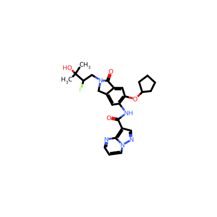 CC(C)(O)C(F)CN1Cc2cc(NC(=O)c3cnn4cccnc34)c(OC3CCCC3)cc2C1=O